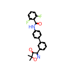 CC1(C)ON=C(c2cccc(-c3ccc(NC(=O)c4c(F)cccc4F)cc3)c2)C1=O